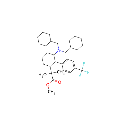 COC(=O)C(C)(C)C1CCCC(N(CC2CCCCC2)CC2CCCCC2)C1c1ccc(C(F)(F)F)cc1